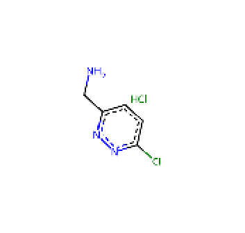 Cl.NCc1ccc(Cl)nn1